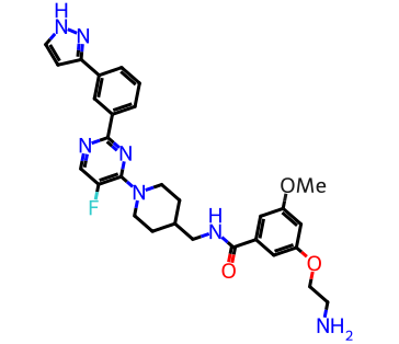 COc1cc(OCCN)cc(C(=O)NCC2CCN(c3nc(-c4cccc(-c5cc[nH]n5)c4)ncc3F)CC2)c1